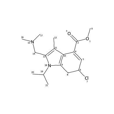 COC(=O)C1=CC(Cl)Cc2c1c(C)c(CN(C)C)n2C(C)C